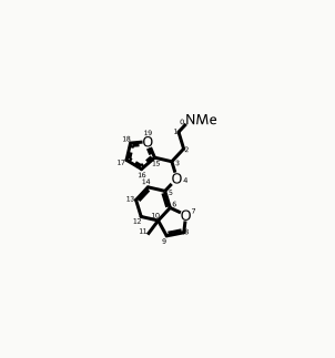 CNCCC(OC1=C2OC=CC2(C)CC=C1)c1ccco1